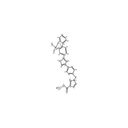 COC(=O)c1ccn(Cc2ccc(-c3noc(-c4ccc(-c5ccccc5)c(C(F)(F)F)c4)n3)cc2)n1